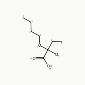 CCCCOC(Cl)(CC)C(=O)O